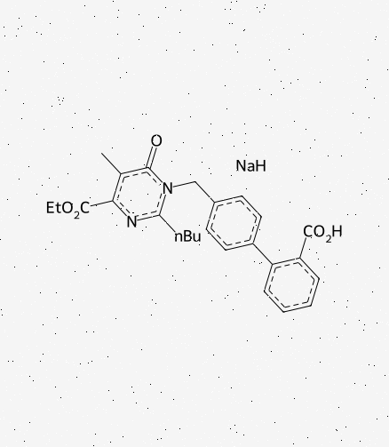 CCCCc1nc(C(=O)OCC)c(C)c(=O)n1Cc1ccc(-c2ccccc2C(=O)O)cc1.[NaH]